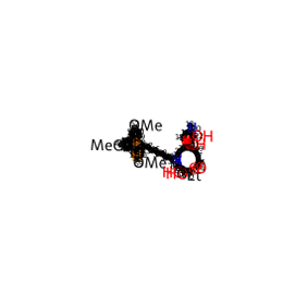 CC[C@H]1OC(=O)[C@H](C)C[C@H](C)[C@@H](O[C@@H]2O[C@H](C)C[C@H](N(C)C)[C@H]2O)[C@](C)(O)CCCN(CCCCCCCCCC[PH](c2ccc(OC)cc2)(c2ccc(OC)cc2)c2ccc(OC)cc2)[C@H](C)[C@@H](O)[C@]1(C)O